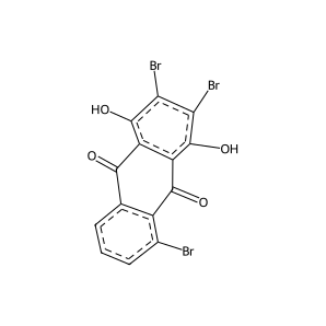 O=C1c2cccc(Br)c2C(=O)c2c(O)c(Br)c(Br)c(O)c21